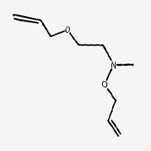 C=CCOCCN(C)OCC=C